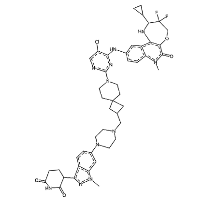 Cn1nc(C2CCC(=O)NC2=O)c2ccc(N3CCN(CC4CC5(CCN(c6ncc(Cl)c(Nc7ccc8c(c7)c7c(c(=O)n8C)OCC(F)(F)C(C8CC8)N7)n6)CC5)C4)CC3)cc21